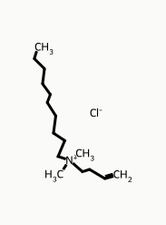 C=CCC[N+](C)(C)CCCCCCCCCC.[Cl-]